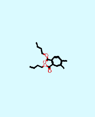 CCCCOC(=O)C1=C(C(=O)OCCCC)CC(C)C(C)C=C1